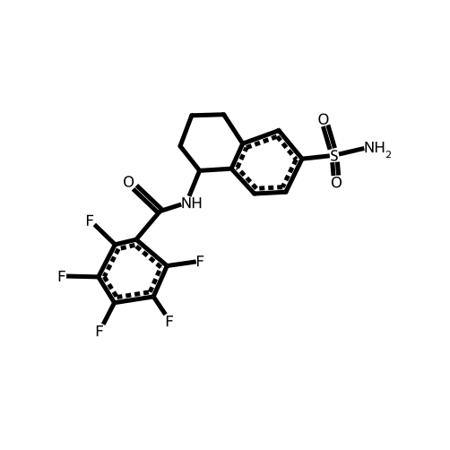 NS(=O)(=O)c1ccc2c(c1)CCCC2NC(=O)c1c(F)c(F)c(F)c(F)c1F